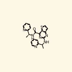 CC(Nc1nc(C(=O)N[C@@H](C)c2ccccn2)c2sccc2n1)c1ccccn1